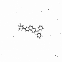 CC1(C)OB(c2ccc3c(ccc4cc(N(c5ccccc5)c5ccccc5)ccc43)c2)OC1(C)C